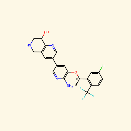 C[C@@H](Oc1cc(-c2cnc3c(c2)CNCC3O)cnc1N)c1cc(Cl)ccc1C(F)(F)F